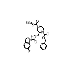 CC(C)(C)OC(=O)N1CCN(C(=O)OCc2ccccc2)C(CNC(=O)N2CCc3ccc(F)cc32)C1